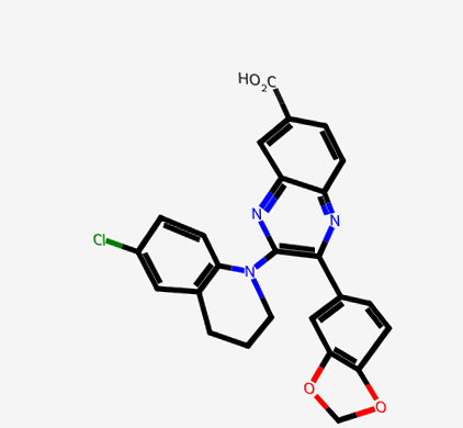 O=C(O)c1ccc2nc(-c3ccc4c(c3)OCO4)c(N3CCCc4cc(Cl)ccc43)nc2c1